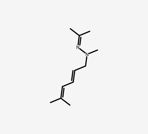 CC(C)=CC=CCN(C)N=C(C)C